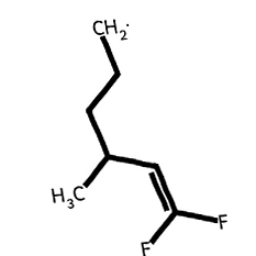 [CH2]CCC(C)C=C(F)F